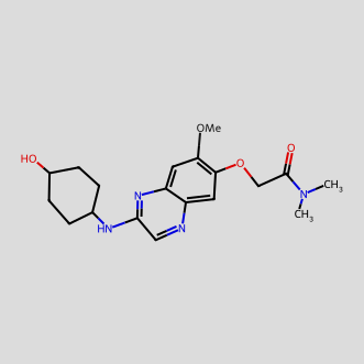 COc1cc2nc(NC3CCC(O)CC3)cnc2cc1OCC(=O)N(C)C